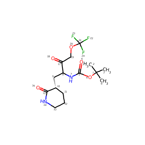 CC(C)(C)OC(=O)NC(C[C@@H]1CCCNC1=O)C(=O)COC(F)(F)F